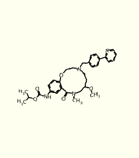 COC1CCN(Cc2ccc(-c3ccccn3)cc2)CCOc2ccc(NC(=O)OC(C)C)cc2C(=O)N(C)C1